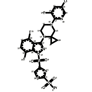 CC(C)S(=O)(=O)c1nc(S(=O)(=O)n2nc(N3CCN(c4ncc(Cl)cc4F)CC34CC4)c3c(F)ccc(F)c32)cs1